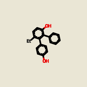 CCc1ccc(O)c(-c2ccccc2)c1-c1ccc(O)cc1